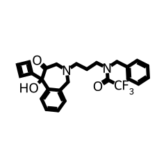 O=C(N(CCCN1CC(=O)C(O)(C2=CC=C2)c2ccccc2C1)Cc1ccccc1)C(F)(F)F